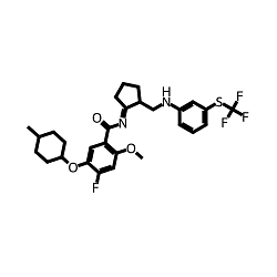 COc1cc(F)c(OC2CCC(C)CC2)cc1C(=O)/N=C1\CCCC1CNc1cccc(SC(F)(F)F)c1